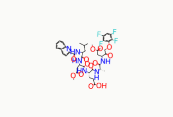 COC(=O)CC(NC(=O)[C@H](C)NC(=O)[C@H](CCC(=O)O)NC(=O)C(CC(=O)OC)NC(=O)C(CC(C)C)NC(=O)c1ccc2ccccc2n1)C(=O)COc1c(F)c(F)cc(F)c1F